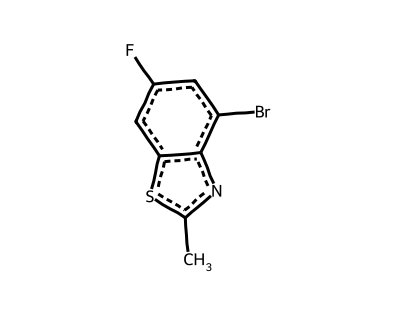 Cc1nc2c(Br)cc(F)cc2s1